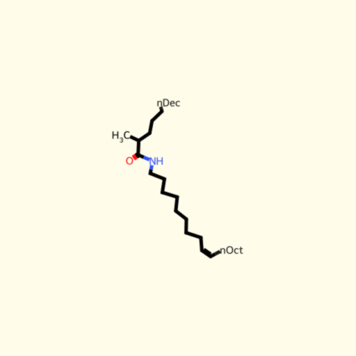 CCCCCCCC/C=C\CCCCCCCCNC(=O)C(C)CCCCCCCCCCCCC